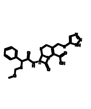 COCSC(C(=O)N[C@H]1C(=O)N2C(C(=O)O)=C(CSc3cnn[nH]3)CSC12)c1ccccc1